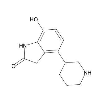 O=C1Cc2c(C3CCCNC3)ccc(O)c2N1